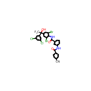 N#Cc1ccc(C(=O)Nc2cccc(C(=O)Nc3c(Br)cc(C(O)(c4cc(Cl)cc(Cl)c4)C(F)(F)F)cc3Br)c2)cc1